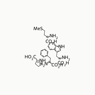 CSCC[C@H](N)C(=O)O.N[C@@H](Cc1c[nH]c2ccccc12)C(=O)O.N[C@@H](Cc1ccccc1)C(=O)O.O=C(O)[C@@H]1CCCN1